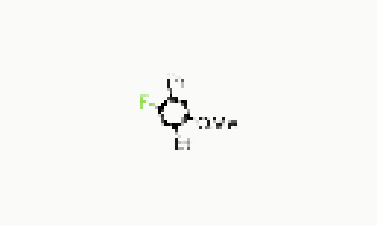 CCc1cc(F)c(C(C)C)cc1OC